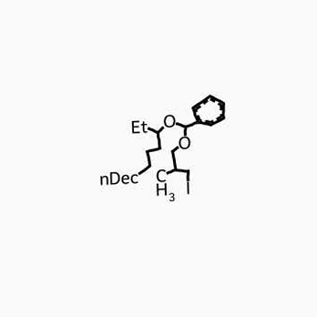 CCCCCCCCCCCCCC(CC)OC(OCC(C)CI)c1ccccc1